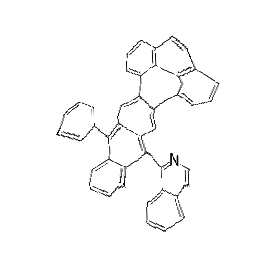 c1ccc(-c2c3ccccc3c(-c3nccc4ccccc34)c3cc4c(cc23)c2cccc3ccc5cccc4c5c32)cc1